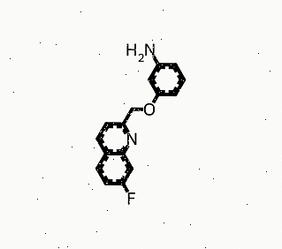 Nc1cccc(OCc2ccc3ccc(F)cc3n2)c1